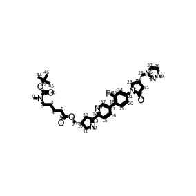 CN(CCCCC(=O)OC[C@H]1CN=C(c2ccc(-c3ccc(N4C[C@H](Cn5ccnn5)CC4=O)cc3F)cn2)C1)C(=O)OC(C)(C)C